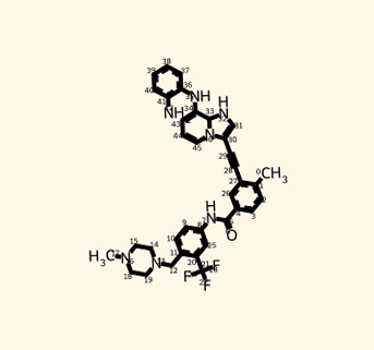 Cc1ccc(C(=O)Nc2ccc(CN3CCN(C)CC3)c(C(F)(F)F)c2)cc1C#CC1=CNC2C(Nc3ccccc3N)=CC=CN12